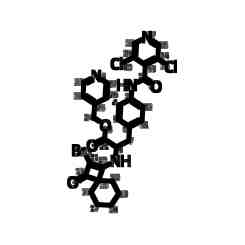 O=C(Nc1ccc(CC(NC2=C(Br)C(=O)C23CCCCC3)C(=O)OCc2ccncc2)cc1)c1c(Cl)cncc1Cl